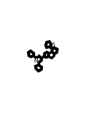 c1ccc(-c2cc(-c3ccc4c(c3)CCc3ccc5sc6ccccc6c5c3-4)cc(-c3ccccc3)n2)cc1